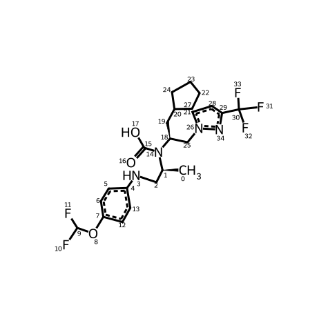 C[C@@H](CNc1ccc(OC(F)F)cc1)N(C(=O)O)[C@@H](CC1CCCC1)Cn1ccc(C(F)(F)F)n1